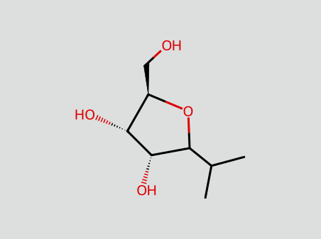 CC(C)C1O[C@H](CO)[C@@H](O)[C@H]1O